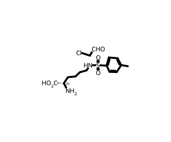 Cc1ccc(S(=O)(=O)NCCCC[C@H](N)C(=O)O)cc1.O=CCCl